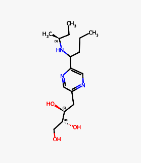 CCCC(N[C@@H](C)CC)c1cnc(C[C@H](O)[C@H](O)CO)cn1